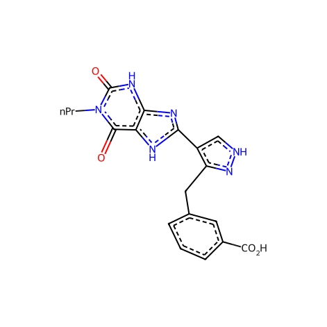 CCCn1c(=O)[nH]c2nc(-c3c[nH]nc3Cc3cccc(C(=O)O)c3)[nH]c2c1=O